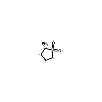 O=S1(=O)CCCC1.P